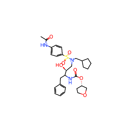 CC(=O)Nc1ccc(S(=O)(=O)N(CC2CCCC2)C[C@H](O)C(Cc2ccccc2)NC(=O)O[C@H]2CCOC2)cc1